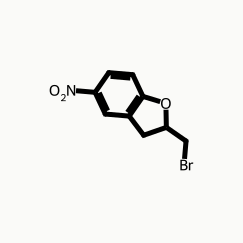 O=[N+]([O-])c1ccc2c(c1)CC(CBr)O2